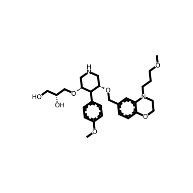 COCCCN1CCOc2ccc(CO[C@H]3CNC[C@@H](OC[C@H](O)CO)C3c3ccc(OC)cc3)cc21